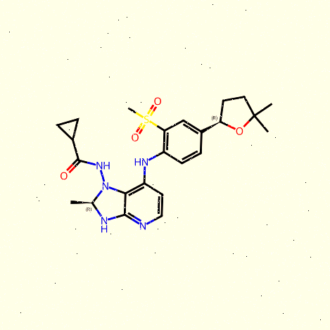 C[C@@H]1Nc2nccc(Nc3ccc([C@H]4CCC(C)(C)O4)cc3S(C)(=O)=O)c2N1NC(=O)C1CC1